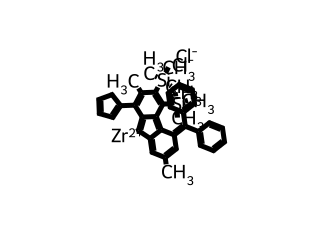 Cc1cc2c(c(=C(c3ccccc3)c3ccccc3)c1)=c1c([Si](C)(C)C)c([Si](C)(C)C)c(C)c(C3=CC=CC3)c1=[C]2[Zr+2].[Cl-].[Cl-]